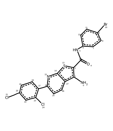 Nc1c(C(=O)Nc2ccc(Br)cc2)sc2nc(-c3ccc(Cl)cc3Cl)ccc12